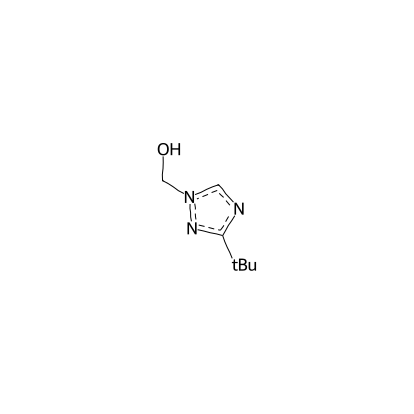 CC(C)(C)c1ncn(CO)n1